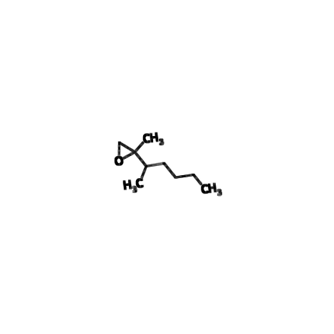 CCCCC(C)C1(C)CO1